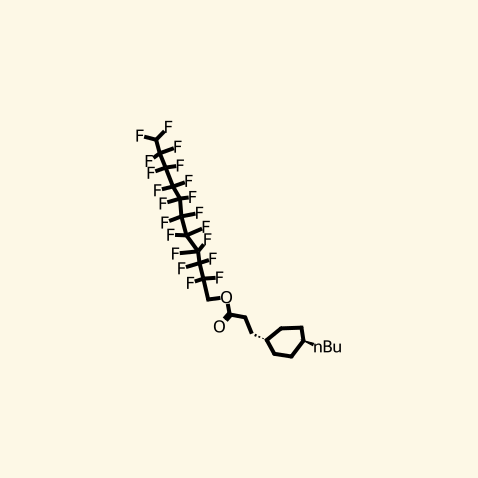 CCCC[C@H]1CC[C@H](CCC(=O)OCC(F)(F)C(F)(F)C(F)(F)C(F)(F)C(F)(F)C(F)(F)C(F)(F)C(F)(F)C(F)(F)C(F)F)CC1